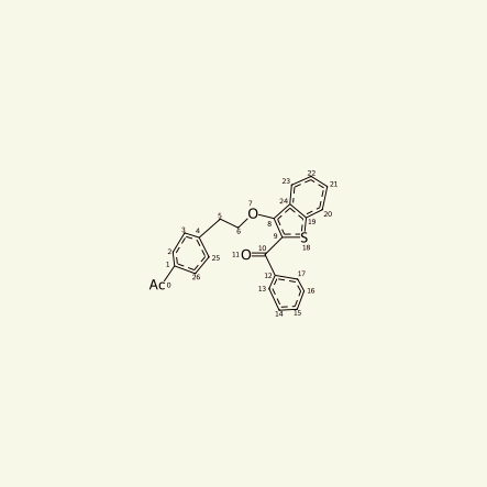 CC(=O)c1ccc(CCOc2c(C(=O)c3ccccc3)sc3ccccc23)cc1